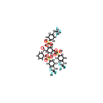 O=C(c1ccccc1)c1c(OS(=O)(=O)c2ccc(CC(F)(F)F)cc2)cc(OS(=O)(=O)c2ccc(CC(F)(F)F)cc2)cc1OS(=O)(=O)c1ccc(CC(F)(F)F)cc1